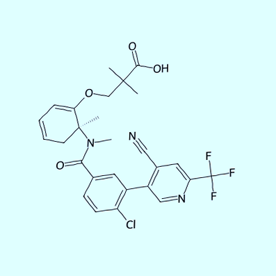 CN(C(=O)c1ccc(Cl)c(-c2cnc(C(F)(F)F)cc2C#N)c1)[C@@]1(C)CC=CC=C1OCC(C)(C)C(=O)O